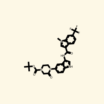 Cn1cc(C(=O)Nc2c[nH]c3ccc(N4CCN(C(=O)OC(C)(C)C)CC4=O)cc23)c2ccc(C(F)(F)F)cc21